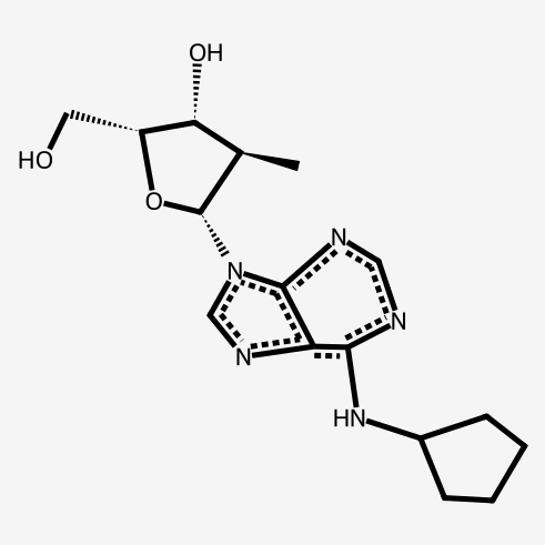 C[C@@H]1[C@@H](O)[C@@H](CO)O[C@H]1n1cnc2c(NC3CCCC3)ncnc21